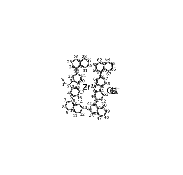 CCC1c2cc(-c3cccc4ccccc34)ccc2-c2ccc(-c3cccc4ccccc34)cc21.[Cl-].[Cl-].[Zr+2][CH]1c2cc(-c3cccc4ccccc34)ccc2-c2ccc(-c3cccc4ccccc34)cc21